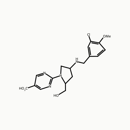 COc1ccc(CNC2CC(CO)N(c3ncc(C(=O)O)cn3)C2)cc1Cl